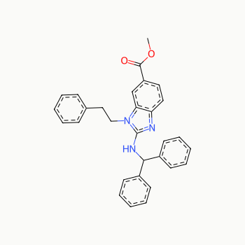 COC(=O)c1ccc2nc(NC(c3ccccc3)c3ccccc3)n(CCc3ccccc3)c2c1